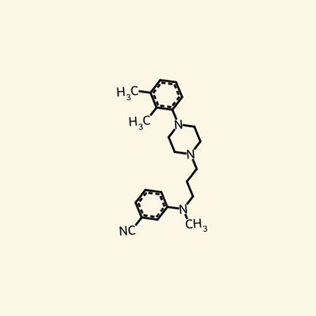 Cc1cccc(N2CCN(CCCN(C)c3cccc(C#N)c3)CC2)c1C